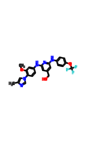 COc1cc(Nc2cc(CO)cc(Nc3ccc(OC(F)(F)F)cc3)n2)ccc1-n1cnc(C)c1